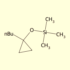 CCCCC1(O[Si](C)(C)C)CC1